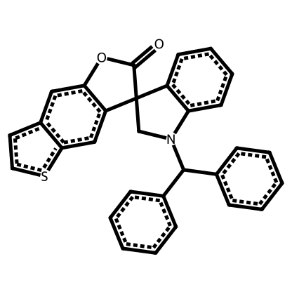 O=C1Oc2cc3ccsc3cc2C12CN(C(c1ccccc1)c1ccccc1)c1ccccc12